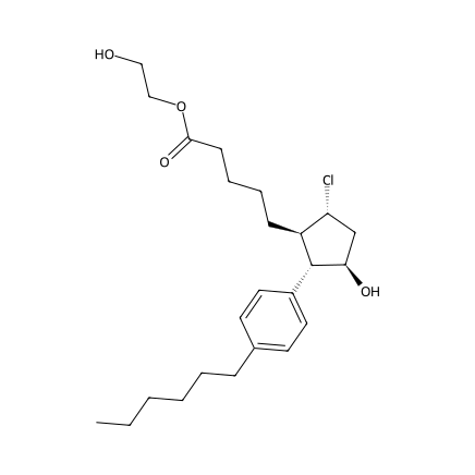 CCCCCCc1ccc([C@@H]2[C@@H](CCCCC(=O)OCCO)[C@H](Cl)C[C@H]2O)cc1